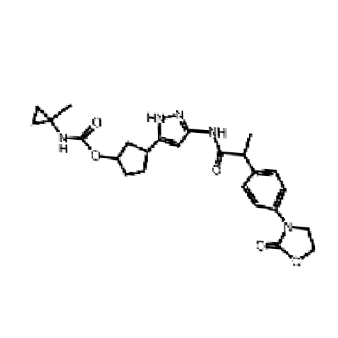 CC(C(=O)Nc1cc(C2CCC(OC(=O)NC3(C)CC3)C2)[nH]n1)c1ccc(N2CCOC2=O)cc1